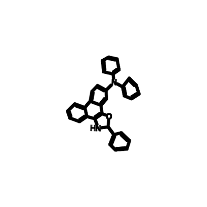 c1ccc(C2Nc3c(c4cc(N(c5ccccc5)c5ccccc5)ccc4c4ccccc34)O2)cc1